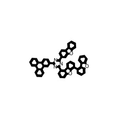 c1ccc2c(c1)oc1cc(-c3nc(-c4ccc5c6ccccc6c6ccccc6c5c4)nc(-c4cccc5oc6c(-c7cccc8oc9ccccc9c78)cccc6c45)n3)ccc12